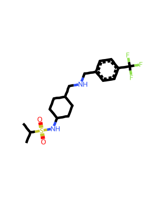 CC(C)S(=O)(=O)NC1CCC(CNCc2ccc(C(F)(F)F)cc2)CC1